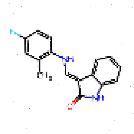 Cc1cc(F)ccc1N/C=C1/C(=O)Nc2ccccc21